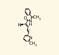 Cc1cccc(/C=C/C=C(\C#N)C(=O)N[C@H](C)c2ccccc2)n1